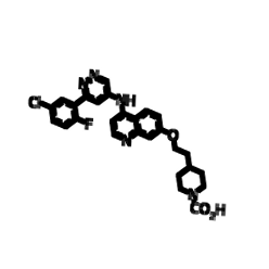 O=C(O)N1CCC(CCOc2ccc3c(Nc4cnnc(-c5cc(Cl)ccc5F)c4)ccnc3c2)CC1